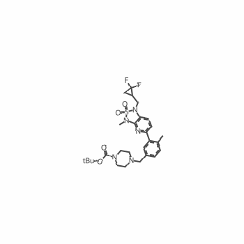 Cc1ccc(CN2CCN(C(=O)OC(C)(C)C)CC2)cc1-c1ccc2c(n1)N(C)S(=O)(=O)N2CC1CC1(F)F